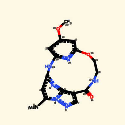 CNc1cc2nc3c(cnn13)C(=O)NCCOc1cc(OC(F)(F)F)cc(n1)N2